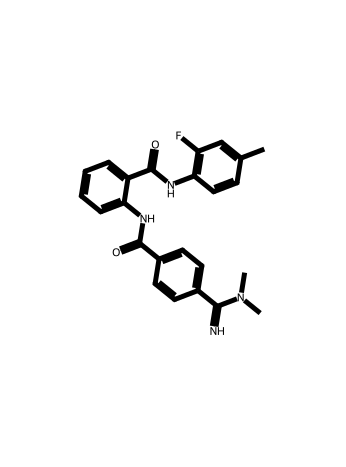 Cc1ccc(NC(=O)c2ccccc2NC(=O)c2ccc(C(=N)N(C)C)cc2)c(F)c1